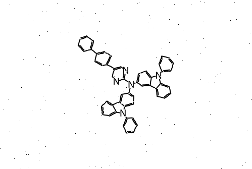 c1ccc(-c2ccc(-c3cnc(N(c4ccc5c(c4)c4ccccc4n5-c4ccccc4)c4ccc5c(c4)c4ccccc4n5-c4ccccc4)nc3)cc2)cc1